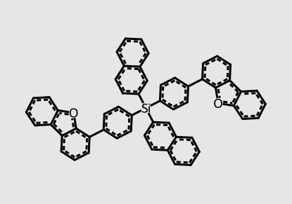 c1ccc2cc([Si](c3ccc(-c4cccc5c4oc4ccccc45)cc3)(c3ccc(-c4cccc5c4oc4ccccc45)cc3)c3ccc4ccccc4c3)ccc2c1